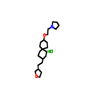 C1CCN(CCOC2CCC3(CCC(CC[C@H]4CCOC4)CC3)CC2)C1.Cl